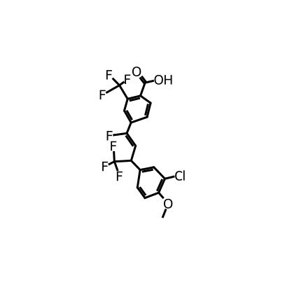 COc1ccc(C(C=C(F)c2ccc(C(=O)O)c(C(F)(F)F)c2)C(F)(F)F)cc1Cl